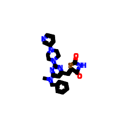 CN(Cc1ccccc1)c1cc(C=C2SC(=O)NC2=O)nc(N2CCN(c3cccnc3)CC2)n1